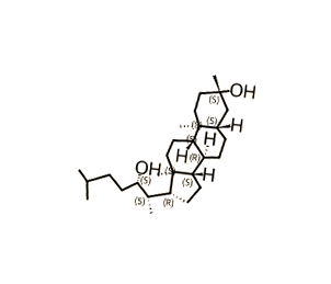 CC(C)CC[C@H](O)[C@@H](C)[C@H]1CC[C@H]2[C@@H]3CC[C@H]4C[C@@](C)(O)CC[C@]4(C)[C@H]3CC[C@]12C